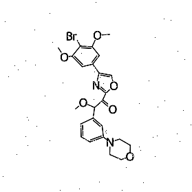 COc1cc(-c2coc(C(=O)C(OC)c3cccc(N4CCOCC4)c3)n2)cc(OC)c1Br